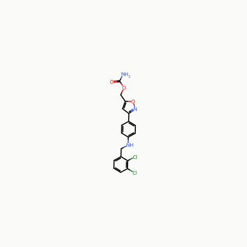 NC(=O)OCc1cc(-c2ccc(NCc3cccc(Cl)c3Cl)cc2)no1